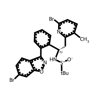 Cc1ccc(Br)nc1C[C@H](N[S+]([O-])C(C)(C)C)c1ccccc1-c1noc2cc(Br)ccc12